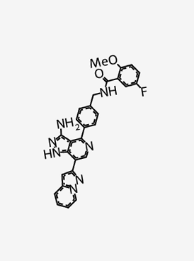 COc1ccc(F)cc1C(=O)NCc1ccc(-c2ncc(-c3cc4ccccn4n3)c3[nH]nc(N)c23)cc1